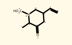 C=CC1CC(=O)C(C)N(C(=O)O)C1